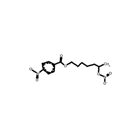 CC(CCCCCOC(=O)c1ccc([N+](=O)[O-])cc1)O[N+](=O)[O-]